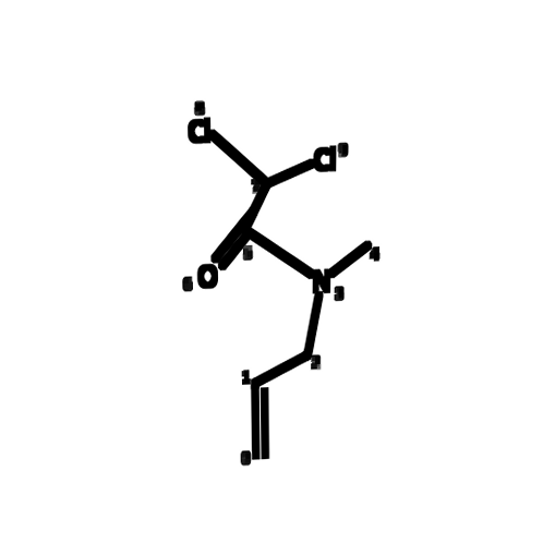 C=CCN(C)C(=O)C(Cl)Cl